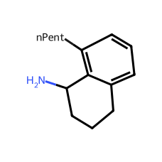 CCCCCc1cccc2c1C(N)CCC2